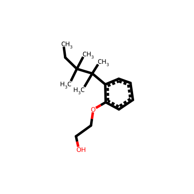 CCC(C)(C)C(C)(C)c1ccccc1OCCO